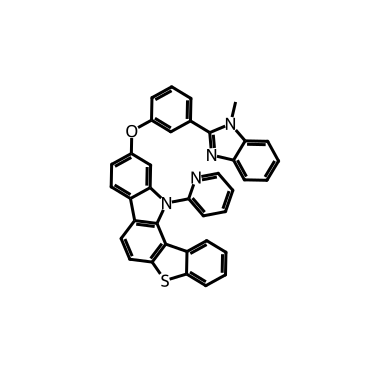 Cn1c(-c2cccc(Oc3ccc4c5ccc6sc7ccccc7c6c5n(-c5ccccn5)c4c3)c2)nc2ccccc21